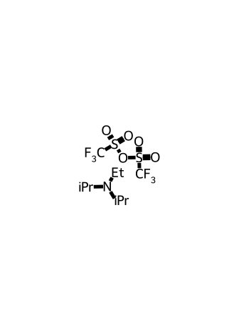 CCN(C(C)C)C(C)C.O=S(=O)(OS(=O)(=O)C(F)(F)F)C(F)(F)F